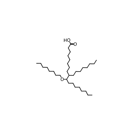 CCCCCCCCOC(CCCCCCCC)C(CCCCCCCC)CCCCCCCC(=O)O